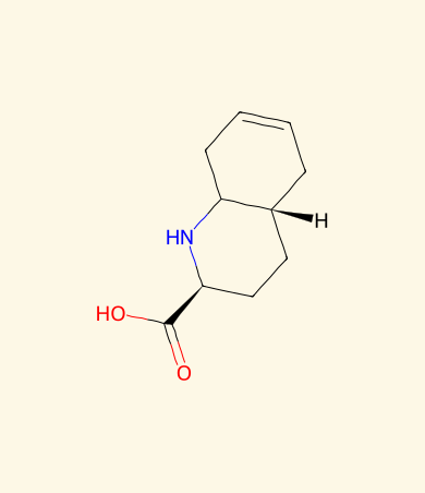 O=C(O)[C@@H]1CC[C@H]2CC=CCC2N1